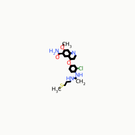 C=C(NCCCSC)Nc1ccc(Oc2ccnc3cc(OC)c(C(N)=O)cc23)cc1Cl